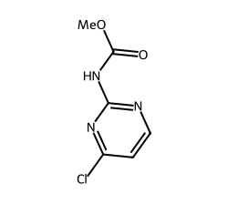 COC(=O)Nc1nccc(Cl)n1